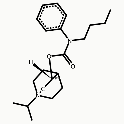 CCCCN(C(=O)O[C@H]1C[N+]2(C(C)C)CCC1CC2)c1ccccc1